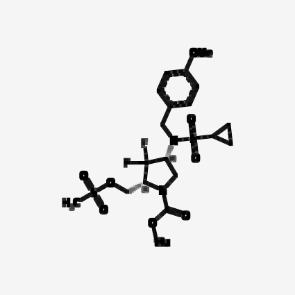 COc1ccc(CN([C@@H]2CN(C(=O)OC(C)(C)C)[C@H](COS(C)(=O)=O)C2(F)F)S(=O)(=O)C2CC2)cc1